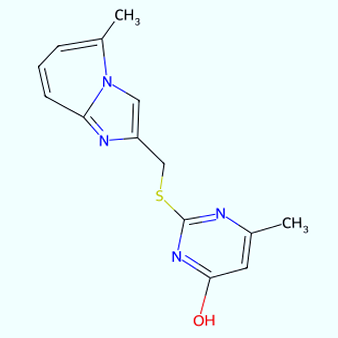 Cc1cc(O)nc(SCc2cn3c(C)cccc3n2)n1